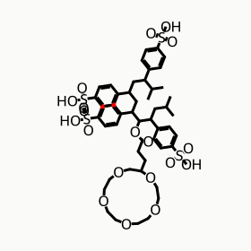 CC(C)CC(c1ccc(S(=O)(=O)O)cc1)C(OC(=O)CCC1COCCOCCOCCOCCO1)C(CC(CC(c1ccc(S(=O)(=O)O)cc1)C(C)C)c1ccc(S(=O)(=O)O)cc1)c1ccc(S(=O)(=O)O)cc1